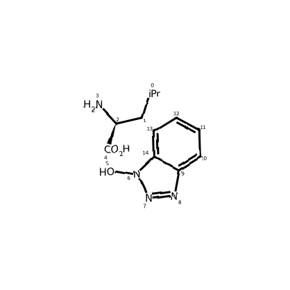 CC(C)C[C@H](N)C(=O)O.On1nnc2ccccc21